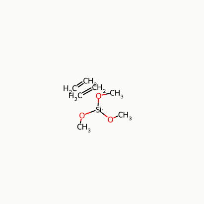 C=C.C=C.CO[Si](OC)OC